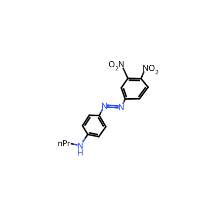 CCCNc1ccc(/N=N/c2ccc([N+](=O)[O-])c([N+](=O)[O-])c2)cc1